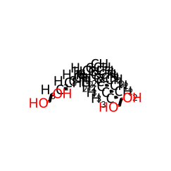 C=C.C=C.C=C.C=C.C=C.C=C.C=C.C=CC.C=CC.C=CC.C=CC.OCCO.OCCO